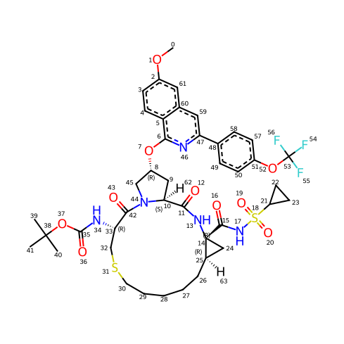 COc1ccc2c(O[C@@H]3C[C@H]4C(=O)N[C@]5(C(=O)NS(=O)(=O)C6CC6)C[C@H]5CCCCCSC[C@H](NC(=O)OC(C)(C)C)C(=O)N4C3)nc(-c3ccc(OC(F)(F)F)cc3)cc2c1